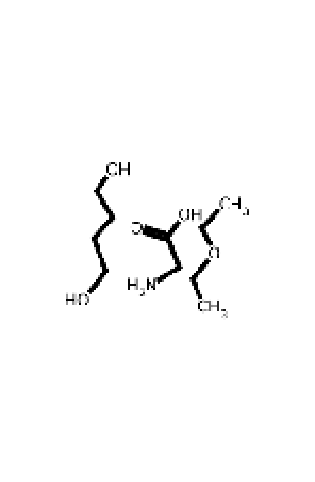 CCOCC.NCC(=O)O.OCCCCO